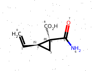 C=C[C@@H]1C[C@@]1(C(N)=O)C(=O)O